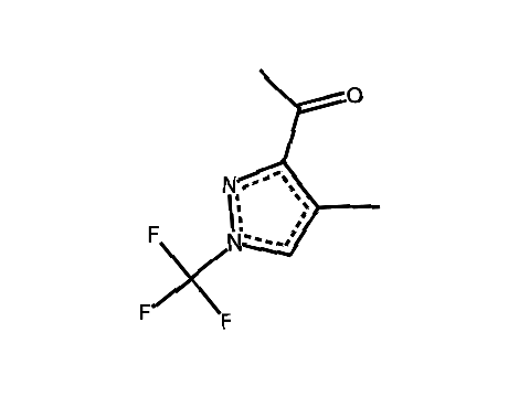 CC(=O)c1nn(C(F)(F)F)cc1C